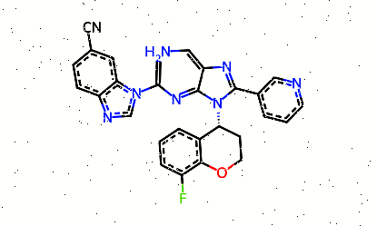 C=C(/N=C1\C(=C/N)N=C(c2cccnc2)N1[C@@H]1CCOc2c(F)cccc21)n1cnc2ccc(C#N)cc21